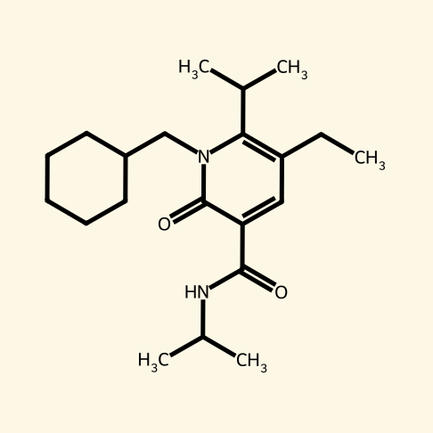 CCc1cc(C(=O)NC(C)C)c(=O)n(CC2CCCCC2)c1C(C)C